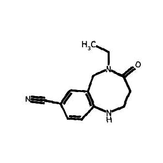 CCN1Cc2cc(C#N)ccc2NCCC1=O